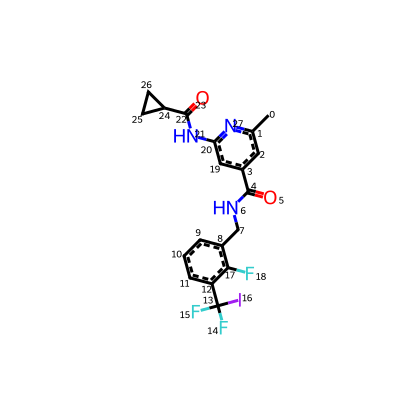 Cc1cc(C(=O)NCc2cccc(C(F)(F)I)c2F)cc(NC(=O)C2CC2)n1